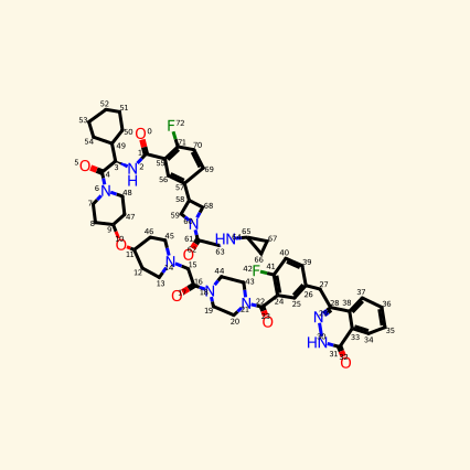 O=C(N[C@@H](C(=O)N1CCC(OC2CCN(CC(=O)N3CCN(C(=O)c4cc(Cc5n[nH]c(=O)c6ccccc56)ccc4F)CC3)CC2)CC1)C1CCCCC1)c1cc(C2CN(C(=O)CNC3CC3)C2)ccc1F